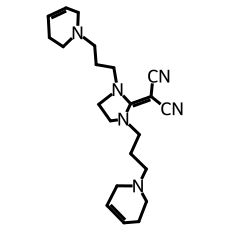 N#CC(C#N)=C1N(CCCN2CC=CCC2)CCN1CCCN1CC=CCC1